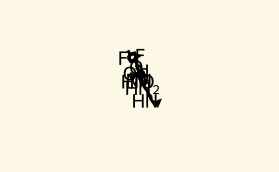 Cc1cc(F)c(COc2nsc(NC(=O)NCCCNC3CC3)c2C(N)=O)cc1F